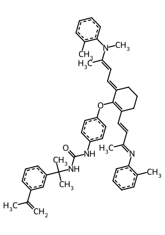 C=C(C)c1cccc(C(C)(C)NC(=O)Nc2ccc(OC3=C(/C=C/C(C)=N/c4ccccc4C)CCC/C3=C\C=C(/C)N(C)c3ccccc3C)cc2)c1